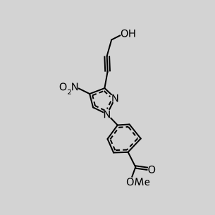 COC(=O)c1ccc(-n2cc([N+](=O)[O-])c(C#CCO)n2)cc1